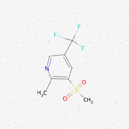 Cc1ncc(C(F)(F)F)cc1S(C)(=O)=O